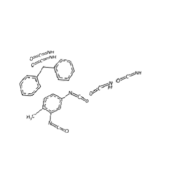 Cc1ccc(N=C=O)cc1N=C=O.N=C=O.N=C=O.N=C=O.N=C=O.c1ccc(Cc2ccccc2)cc1